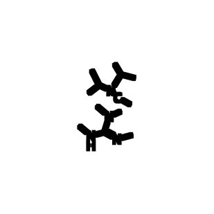 CCN(C(C)C)C(C)C.CN=C(NC)N(C)C